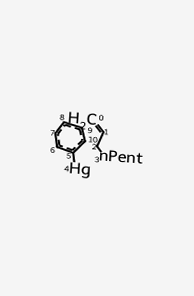 C=CCCCCCC.[Hg][c]1ccccc1